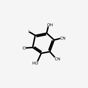 N#Cc1c(O)c(Cl)c(I)c(O)c1C#N